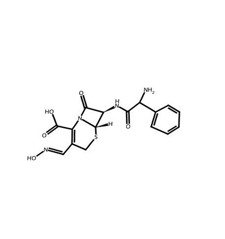 NC(C(=O)N[C@@H]1C(=O)N2C(C(=O)O)=C(C=NO)CS[C@@H]12)c1ccccc1